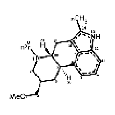 CCCN1C[C@H](COC)C[C@@H]2c3cccc4[nH]c(C)c(c34)C[C@H]21